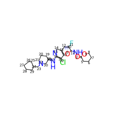 O=C(NOC1CCCCO1)/C(F)=C\c1cnc(N[C@@H]2CCCN(CC3CCCCC3)C2)c(Cl)c1